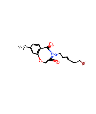 Cc1ccc2c(c1)OCC(=O)N(CCCCCBr)C2=O